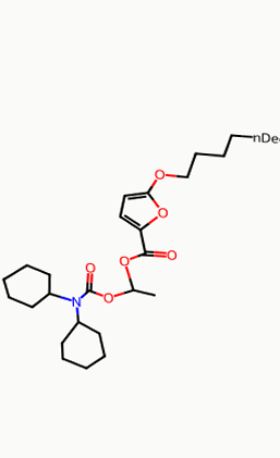 CCCCCCCCCCCCCCOc1ccc(C(=O)OC(C)OC(=O)N(C2CCCCC2)C2CCCCC2)o1